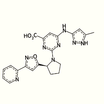 Cc1cc(Nc2cc(C(=O)O)nc(N3CCC[C@H]3c3cc(-c4ccccn4)no3)n2)n[nH]1